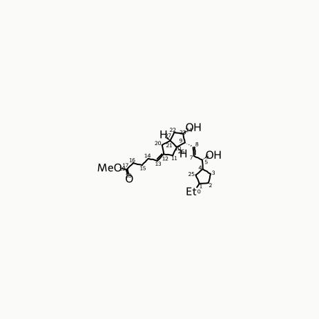 CCC1CCC([C@@H](O)C=C[C@@H]2[C@H]3CC(=CCCCC(=O)OC)C[C@@H]3C[C@H]2O)C1